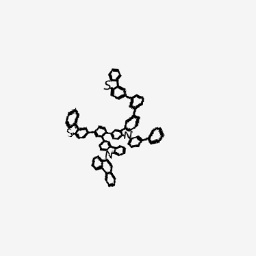 c1ccc(-c2cccc(-n3c4ccc(-c5cccc(-c6ccc7sc8ccccc8c7c6)c5)cc4c4cc(-c5ccc(-c6ccc7sc8ccccc8c7c6)cc5-c5ccc6c(c5)c5ccccc5n6-c5cc6ccccc6c6ccccc56)ccc43)c2)cc1